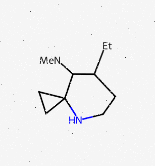 CCC1CCNC2(CC2)C1NC